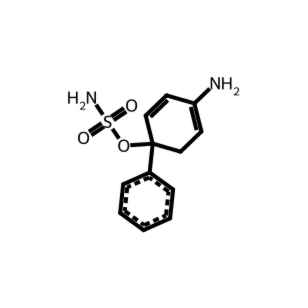 NC1=CCC(OS(N)(=O)=O)(c2ccccc2)C=C1